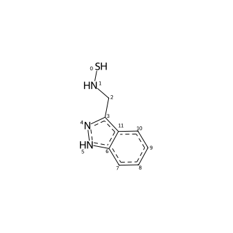 SNCc1n[nH]c2ccccc12